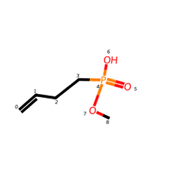 C=CCCP(=O)(O)OC